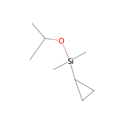 CC(C)O[Si](C)(C)C1CC1